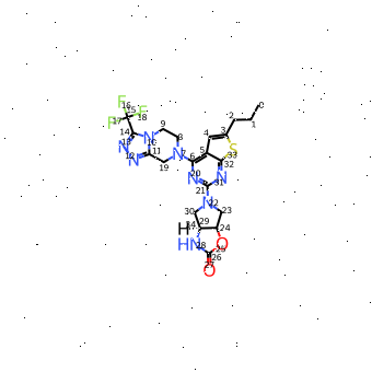 CCCc1cc2c(N3CCn4c(nnc4C(F)(F)F)C3)nc(N3CC4OC(=O)N[C@H]4C3)nc2s1